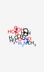 C[C@H](N)C(=O)N(CC(=O)OC(C)(C)C)C1C[C@H]2CCCC[C@@H]2C1.O=C(O)C(=O)O